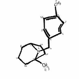 Cc1ccc(CN2C3CCCC2(C)CC3)cc1